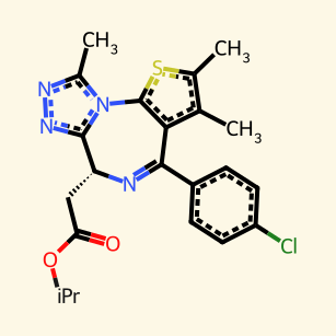 Cc1sc2c(c1C)C(c1ccc(Cl)cc1)=N[C@H](CC(=O)OC(C)C)c1nnc(C)n1-2